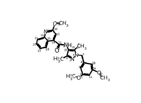 COc1cc(Cn2nc(C)c(NC(=O)c3cc(OC)nc4ccccc34)c2C)cc(OC)c1